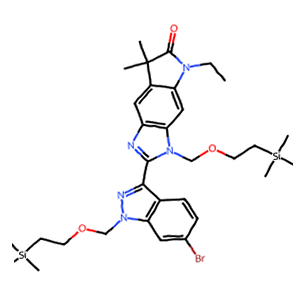 CCN1C(=O)C(C)(C)c2cc3nc(-c4nn(COCC[Si](C)(C)C)c5cc(Br)ccc45)n(COCC[Si](C)(C)C)c3cc21